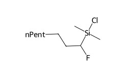 CCCCCCCC(F)[Si](C)(C)Cl